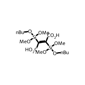 CCCCO[Si](OC)(OC)C(C(=O)O)=C(C(=O)O)[Si](OC)(OC)OCCCC